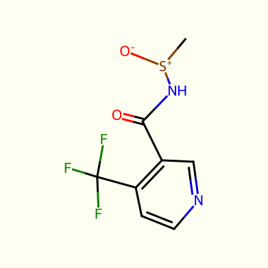 C[S+]([O-])NC(=O)c1cnccc1C(F)(F)F